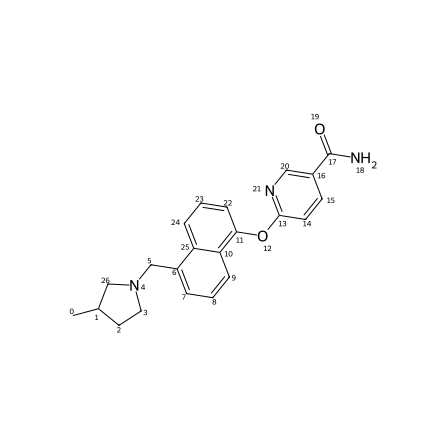 CC1CCN(Cc2cccc3c(Oc4ccc(C(N)=O)cn4)cccc23)C1